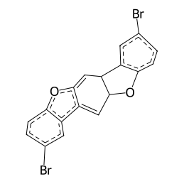 Brc1ccc2c(c1)C1C=c3oc4ccc(Br)cc4c3=CC1O2